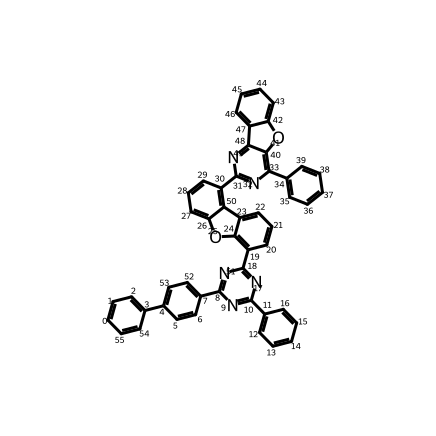 c1ccc(-c2ccc(-c3nc(-c4ccccc4)nc(-c4cccc5c4oc4cccc(-c6nc(-c7ccccc7)c7oc8ccccc8c7n6)c45)n3)cc2)cc1